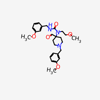 COCCN(C(=O)NCc1cccc(OC)c1)C1(C=O)CCN(Cc2cccc(OC)c2)CC1